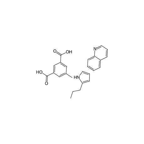 CCCc1ccc[nH]1.Cc1cc(C(=O)O)cc(C(=O)O)c1.c1ccc2ncccc2c1